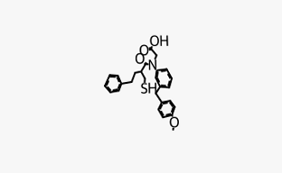 COc1ccc(Cc2cccc(N(CC(=O)O)C(=O)C(CS)CCc3ccccc3)c2)cc1